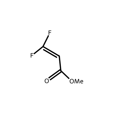 COC(=O)C=C(F)F